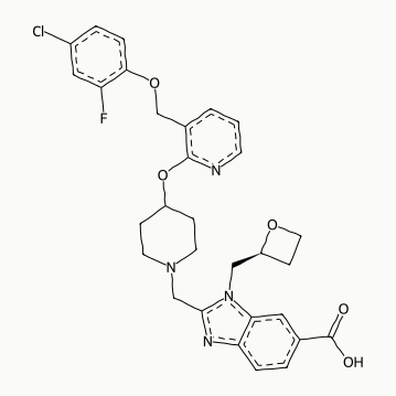 O=C(O)c1ccc2nc(CN3CCC(Oc4ncccc4COc4ccc(Cl)cc4F)CC3)n(C[C@@H]3CCO3)c2c1